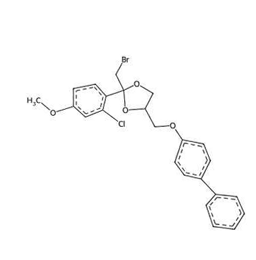 COc1ccc(C2(CBr)OCC(COc3ccc(-c4ccccc4)cc3)O2)c(Cl)c1